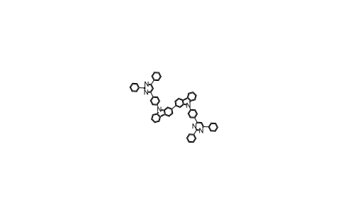 c1ccc(-c2cc(-c3ccc(-n4c5ccccc5c5ccc(-c6ccc7c8ccccc8n(-c8ccc(-c9cc(-c%10ccccc%10)nc(-c%10ccccc%10)n9)cc8)c7c6)cc54)cc3)nc(-c3ccccc3)n2)cc1